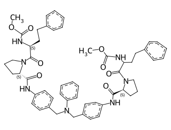 COC(=O)NC(CCc1ccccc1)C(=O)N1CCC[C@H]1C(=O)Nc1ccc(CN(Cc2ccc(NC(=O)[C@@H]3CCCN3C(=O)[C@H](CCc3ccccc3)NC(=O)OC)cc2)c2ccccc2)cc1